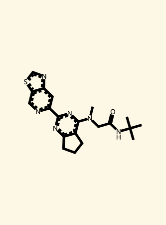 CN(CC(=O)NC(C)(C)C)c1nc(-c2cc3ncsc3cn2)nc2c1CCC2